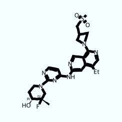 CCc1cnc(N2CC(CS(C)(=O)=O)C2)c2cnc(Nc3ccnc(N4CC[C@@H](O)[C@@](C)(F)C4)n3)cc12